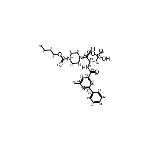 CCCCOC(=O)N1CCN(C(=O)[C@H](CP(=O)(O)O)NC(=O)c2cc(C)nc(-c3ccccc3)n2)CC1